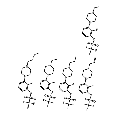 C=CCN1CCN(c2cccc(OS(=O)(=O)C(F)(F)F)c2C)CC1.CCCN1CCN(c2cccc(OS(=O)(=O)C(F)(F)F)c2F)CC1.CCN1CCN(c2cccc(OS(=O)(=O)C(F)(F)F)c2C)CC1.CCN1CCN(c2cccc(OS(=O)(=O)C(F)(F)F)c2F)CC1.COCCN1CCN(c2cccc(OS(=O)(=O)C(F)(F)F)c2C)CC1